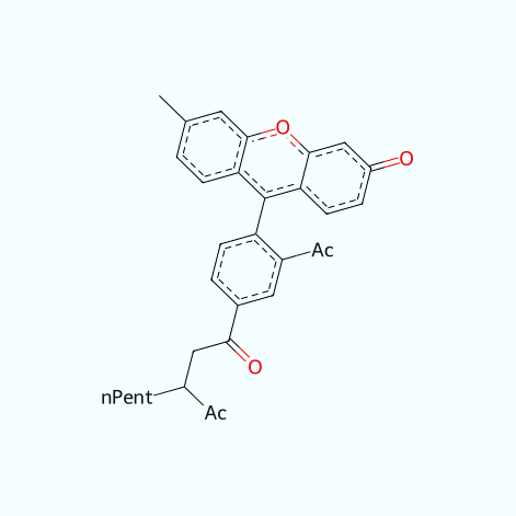 CCCCCC(CC(=O)c1ccc(-c2c3ccc(=O)cc-3oc3cc(C)ccc23)c(C(C)=O)c1)C(C)=O